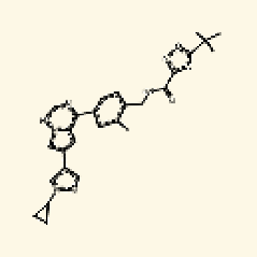 Cc1cc(-c2ncnn3cc(-c4cnn(C5CC5)c4)cc23)ccc1CNC(=O)c1noc(C(C)(C)C)n1